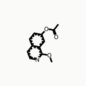 COc1nccc2ccc(OC(C)=O)cc12